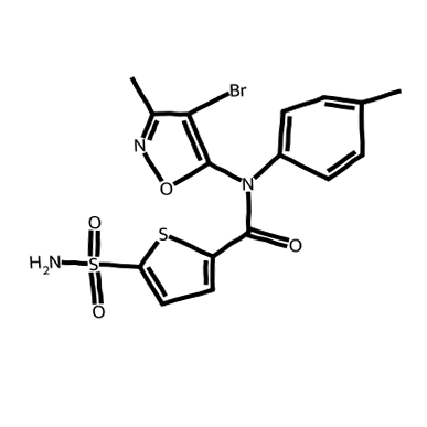 Cc1ccc(N(C(=O)c2ccc(S(N)(=O)=O)s2)c2onc(C)c2Br)cc1